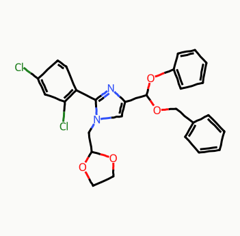 Clc1ccc(-c2nc(C(OCc3ccccc3)Oc3ccccc3)cn2CC2OCCO2)c(Cl)c1